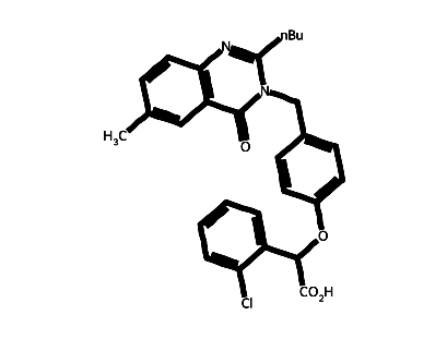 CCCCc1nc2ccc(C)cc2c(=O)n1Cc1ccc(OC(C(=O)O)c2ccccc2Cl)cc1